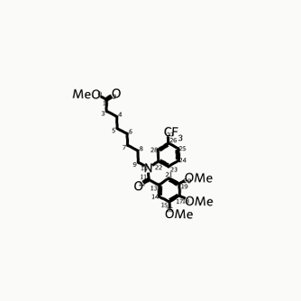 COC(=O)CCCCCCCN(C(=O)c1cc(OC)c(OC)c(OC)c1)c1cccc(C(F)(F)F)c1